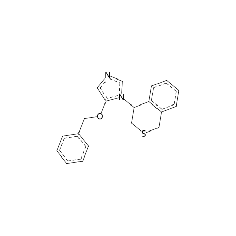 c1ccc(COc2cncn2C2CSCc3ccccc32)cc1